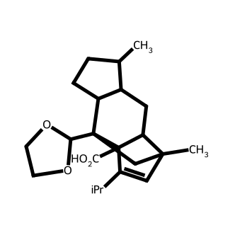 CC(C)C1=CC2(C)CC3(C4OCCO4)C4CCC(C)C4CC2C13C(=O)O